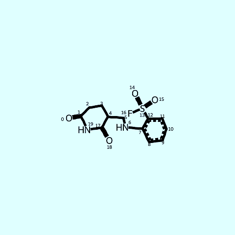 O=C1CCC(CNc2ccccc2S(=O)(=O)F)C(=O)N1